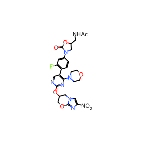 CC(=O)NCC1CN(c2ccc(-c3cnc(OC4COc5nc([N+](=O)[O-])cn5C4)nc3N3CCOCC3)c(F)c2)C(=O)O1